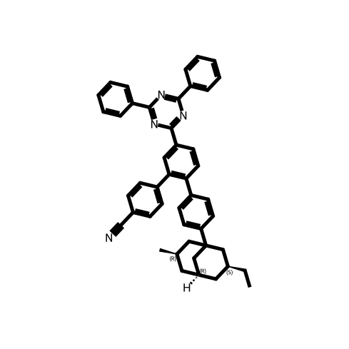 CC[C@H]1C[C@H]2C[C@@H](C)CC(c3ccc(-c4ccc(-c5nc(-c6ccccc6)nc(-c6ccccc6)n5)cc4-c4ccc(C#N)cc4)cc3)(C2)C1